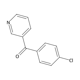 O=C(c1ccc(Cl)cc1)c1cccnc1